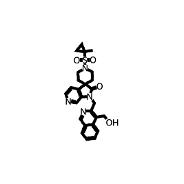 CC1(S(=O)(=O)N2CCC3(CC2)C(=O)N(Cc2ncc4ccccc4c2CO)c2cnccc23)CC1